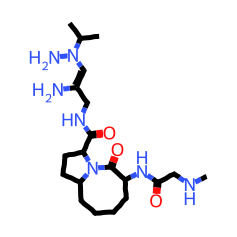 CNCC(=O)NC1CCCCC2CCC(C(=O)NC/C(N)=C/N(N)C(C)C)N2C1=O